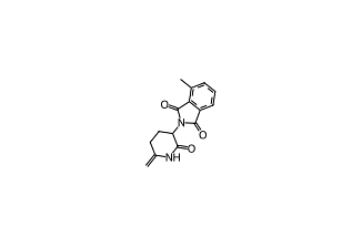 C=C1CCC(N2C(=O)c3cccc(C)c3C2=O)C(=O)N1